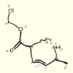 CC(N)/C=C\C(N)C(=O)OCC#N